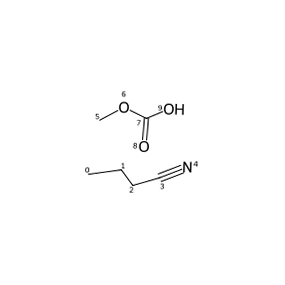 CCCC#N.COC(=O)O